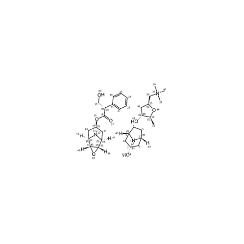 CN1[C@@H]2CC[C@H]1C[C@@H](O)C2.CN1[C@@H]2C[C@@H](OC(=O)[C@H](CO)c3ccccc3)C[C@H]1[C@@H]1O[C@@H]12.C[C@@H]1O[C@H](C[N+](C)(C)C)C[C@H]1O